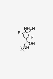 CC(C)(C)NCC(O)c1cc(F)c(N)c(C#N)c1F